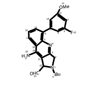 CCC(C)N1Cc2nc3c(-c4cc(F)cc(OC)c4)cccc3c(N)c2C1C=O